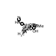 COC(=O)c1c(Br)c(OC)cc(O)c1CSCC(NC(=S)Nc1ccc(Nc2ccncc2)cc1)c1nc(C)no1